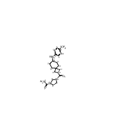 NC(=O)[C@@H]1CCN(C(=O)N2CC3(CCC(Nc4cnc(C(F)(F)F)cn4)CC3)C2)C1